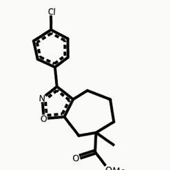 COC(=O)C1(C)CCCc2c(-c3ccc(Cl)cc3)noc2C1